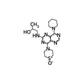 CC(O)CNc1nc(N2CC[S+]([O-])CC2)c2ncnc(N3CCCCC3)c2n1